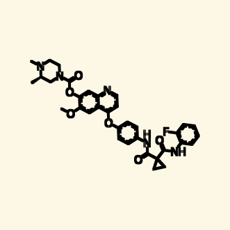 COc1cc2c(Oc3ccc(NC(=O)C4(C(=O)Nc5ccccc5F)CC4)cc3)ccnc2cc1OC(=O)N1CCN(C)[C@H](C)C1